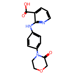 O=C(O)c1cccnc1Nc1ccc(N2CCOCC2=O)cc1